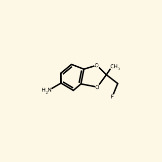 CC1(CF)Oc2ccc(N)cc2O1